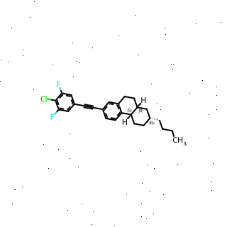 CCCC[C@@H]1CC[C@@H]2c3ccc(C#Cc4cc(F)c(Cl)c(F)c4)cc3CC[C@@H]2C1